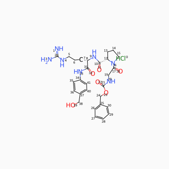 Cl.N=C(N)NCCC[C@H](NC(=O)[C@@H]1CCCN1C(=O)CNC(=O)OCc1ccccc1)C(=O)Nc1ccc(CO)cc1